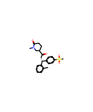 Cc1ccccc1[C@H](CC(=O)C1CCC(=O)N(C)C1)c1ccc(S(C)(=O)=O)cc1